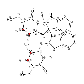 CN1C(=O)[C@@]2(CO)SS[C@@]1(Cc1cc3ccccc3n1C13C[C@@]45SS[C@](CO)(C(=O)C4[C@H]1Nc1ccccc13)N(C)C5=O)C(=O)N2C